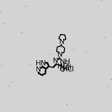 Cl.Cl.Cl.O=C1NC(N2CCC(N3CCCC3)CC2)=N/C1=C\c1c[nH]c2ncccc12